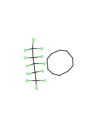 C1CCCCCCCCC1.ClC(Cl)(Cl)C(Cl)(Cl)C(Cl)(Cl)C(Cl)(Cl)C(Cl)(Cl)Cl